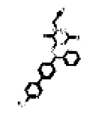 Cc1ccc(-c2ccc([C@H](O[C@@H](CC(C)C)C(=O)NCC#N)c3ccccc3)cc2)cn1